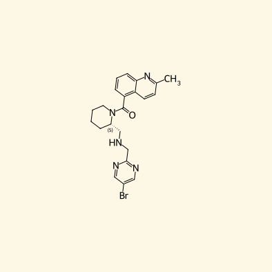 Cc1ccc2c(C(=O)N3CCCC[C@H]3CNCc3ncc(Br)cn3)cccc2n1